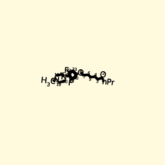 CCCC(=O)CCCCCOc1cc(F)c(N2CCN(C)CC2)c(F)c1